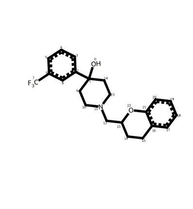 OC1(c2cccc(C(F)(F)F)c2)CCN(CC2CCc3ccccc3O2)CC1